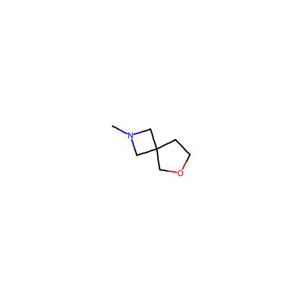 CN1CC2(CCOC2)C1